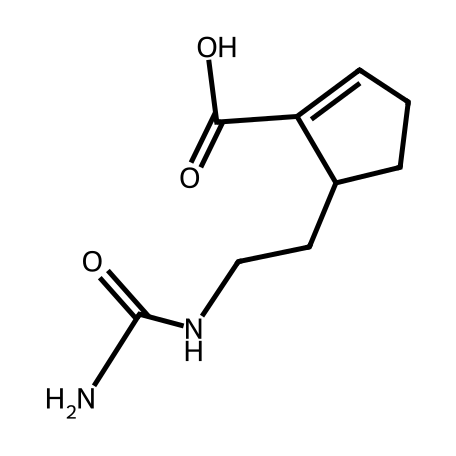 NC(=O)NCCC1CCC=C1C(=O)O